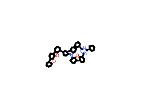 c1ccc(-c2nc(-c3ccccc3)nc(-c3cccc4c3oc3c(-n5c6ccccc6c6cc(-c7cccc8c7oc7c8ccc8c9ccccc9oc87)ccc65)cccc34)n2)cc1